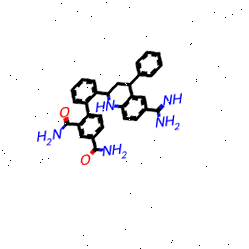 N=C(N)c1ccc2c(c1)C(c1ccccc1)CC(c1ccccc1-c1ccc(C(N)=O)cc1C(N)=O)N2